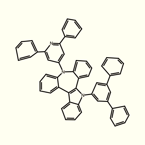 c1ccc(-c2cc(-c3ccccc3)cc(-n3c4c(c5ccccc53)-c3ccccc3N(c3cc(-c5ccccc5)nc(-c5ccccc5)c3)c3ccccc3-4)c2)cc1